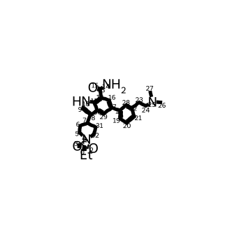 CCS(=O)(=O)N1CCC(c2c[nH]c3c(C(N)=O)cc(-c4cccc(CCN(C)C)c4)cc23)CC1